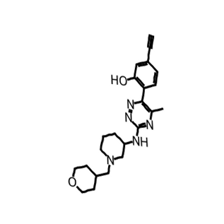 C#Cc1ccc(-c2nnc(NC3CCCN(CC4CCOCC4)C3)nc2C)c(O)c1